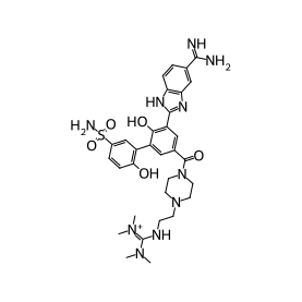 CN(C)C(NCCN1CCN(C(=O)c2cc(-c3nc4cc(C(=N)N)ccc4[nH]3)c(O)c(-c3cc(S(N)(=O)=O)ccc3O)c2)CC1)=[N+](C)C